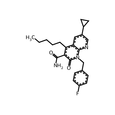 CCCCCc1c(C(N)=O)c(=O)n(Cc2ccc(F)cc2)c2ncc(C3CC3)cc12